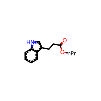 CCCOC(=O)CCc1c[nH]c2ccccc12